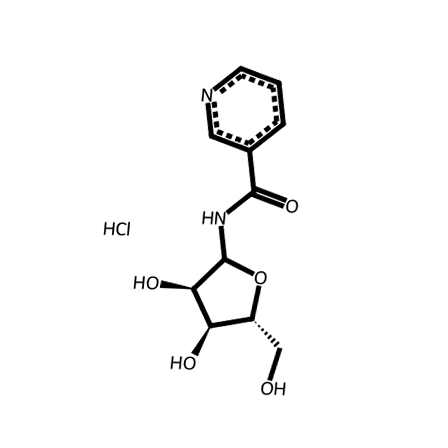 Cl.O=C(NC1O[C@H](CO)[C@@H](O)[C@H]1O)c1cccnc1